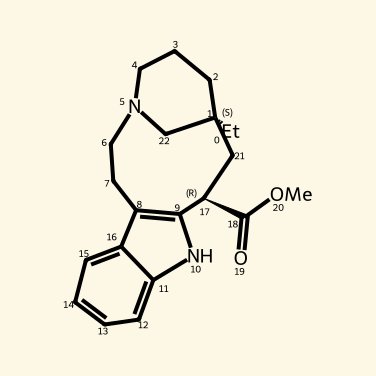 CC[C@]12CCCN(CCc3c([nH]c4ccccc34)[C@H](C(=O)OC)C1)C2